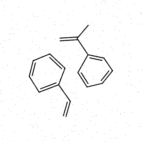 C=C(C)c1ccccc1.C=Cc1ccccc1